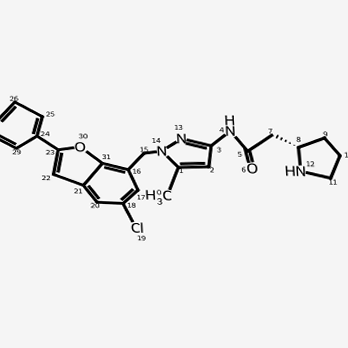 Cc1cc(NC(=O)C[C@@H]2CCCN2)nn1Cc1cc(Cl)cc2cc(-c3ccccc3)oc12